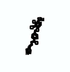 CC(C)(C)n1ncc(OCc2ccc(C(=O)CCCn3ccnc3)cc2)c(Cl)c1=O